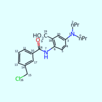 CCCN(CCC)c1ccc(NC(=O)c2cccc(CCl)c2)c(C(=O)O)c1